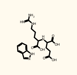 N=C(N)NCCCC(NC(CCC(=O)O)C(=O)O)C(=O)O.c1ccc2[nH]ncc2c1